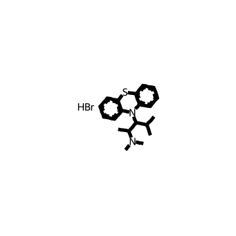 Br.CC(C)C(C(C)N(C)C)N1c2ccccc2Sc2ccccc21